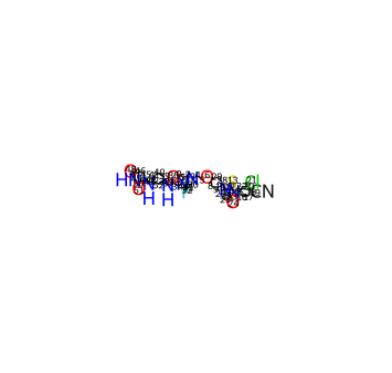 C[C@H]1CN(CCO[C@H]2CC[C@H](N3C(=S)N(c4ccc(C#N)c(Cl)c4)C(=O)C3(C)C)CC2)C[C@@H](F)N1CC(=O)Nc1cccc(NC2CCC(=O)NC2=O)c1